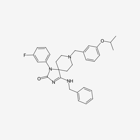 CC(C)Oc1cccc(CN2CCC3(CC2)C(NCc2ccccc2)=NC(=O)N3c2cccc(F)c2)c1